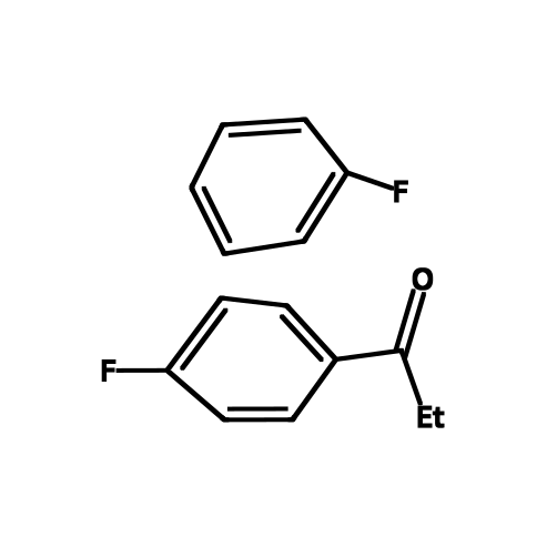 CCC(=O)c1ccc(F)cc1.Fc1ccccc1